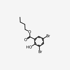 CCCCOC(=O)c1cc(Br)cc(Br)c1O